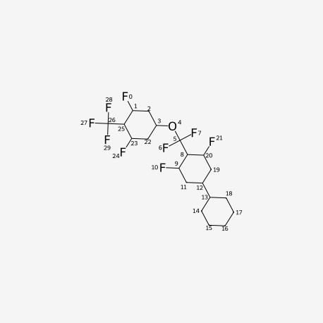 FC1CC(OC(F)(F)C2C(F)CC(C3CCCCC3)CC2F)CC(F)C1C(F)(F)F